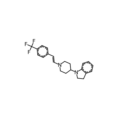 FC(F)(F)c1ccc(C=CN2CCC(N3CCc4ccccc43)CC2)cc1